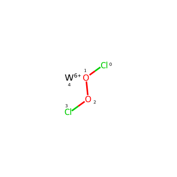 ClOOCl.[W+6]